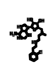 CN(CCNCCc1ccccc1Cl)C[C@H]1O[C@@H](N2CNC3C(N)NCNC32)[C@H](O)[C@@H]1O